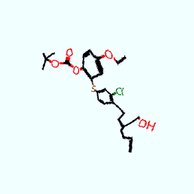 C=CCC(CO)CCc1ccc(Sc2cc(OCC)ccc2OC(=O)OC(C)(C)C)cc1Cl